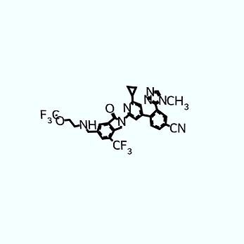 Cn1cnnc1-c1cc(C#N)ccc1-c1cc(C2CC2)nc(N2Cc3c(cc(CNCCOC(F)(F)F)cc3C(F)(F)F)C2=O)c1